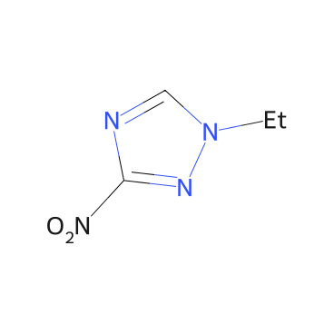 CCn1cnc([N+](=O)[O-])n1